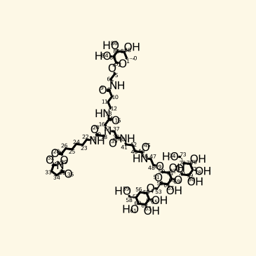 C[C@@H]1O[C@@H](OCCNC(=O)CCCNC(=O)CN(CC(=O)NCCCCCC(=O)ON2C(=O)CCC2=O)CC(=O)NCCCC(=O)NCCO[C@H]2O[C@H](CO[C@H]3C[C@H](CO)[C@@H](O)[C@H](O)[C@@H]3O)[C@@H](O)[C@H](O[C@H]3O[C@H](CO)[C@@H](O)[C@H](O)[C@@H]3O)[C@@H]2O)[C@@H](O)[C@H](O)[C@@H]1O